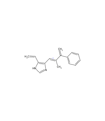 C=Cc1[nH]cnc1/C=C(\C)C(=C)c1ccccc1